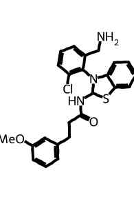 COc1cccc(CCC(=O)NC2Sc3ccccc3N2c2c(Cl)cccc2CN)c1